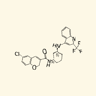 O=C(N[C@@H]1CCC[C@H](Nc2cc(C(F)(F)F)nc3ccccc23)C1)C1=Cc2cc(Cl)ccc2OC1